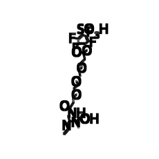 C=C/N=C(/CNC(=O)CCOCCOCCOCCC(=O)Oc1c(F)c(F)c(S(=O)(=O)O)c(F)c1F)N(C)CO